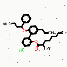 C=CCCCCC(CCC)C(=O)Oc1ccccc1-c1cc(CC=C)ccc1OC(CCNC)c1ccccc1.Cl